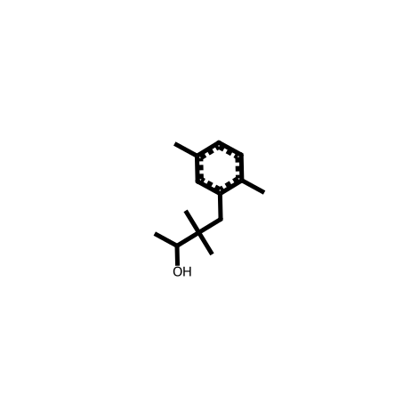 Cc1ccc(C)c(CC(C)(C)C(C)O)c1